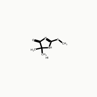 CSC1=NC(=O)C(C)(C)N1.I